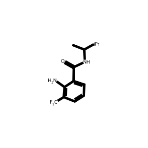 CC(C)C(C)NC(=O)c1cccc(C(F)(F)F)c1N